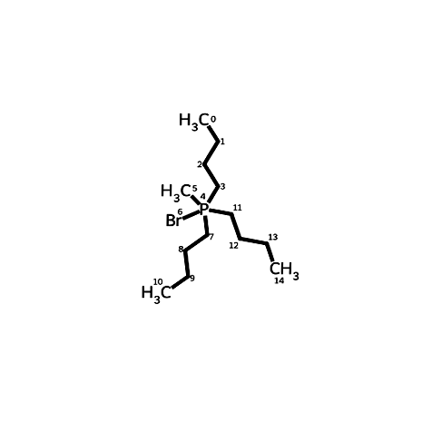 CCCCP(C)(Br)(CCCC)CCCC